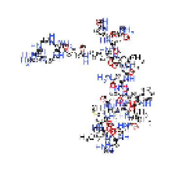 CSCC[C@H](NC(=O)[C@H](CC(C)C)NC(=O)[C@H](Cc1c[nH]cn1)NC(=O)CNC(=O)[C@@H](NC(=O)[C@H](C)NC(=O)[C@H](Cc1c[nH]c2ccccc12)NC(=O)[C@H](CCC(N)=O)NC(=O)[C@H](CC(N)=O)NC(=O)CNC(=O)[C@H](CC(C)C)NC(=O)[C@H](CCCCNC(=O)CCCC(=O)N[C@@]1(CN)CNCCNC[C@](N)(CN)NCCN1)NC(=O)[C@H](CCC(N)=O)NC(=O)[C@@H]1CCC(=O)N1)C(C)C)C(N)=O